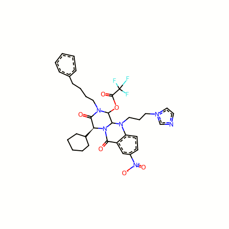 O=C1[C@H](C2CCCCC2)N2C(=O)c3cc([N+](=O)[O-])ccc3N(CCCn3ccnc3)C2C(OC(=O)C(F)(F)F)N1CCCCc1ccccc1